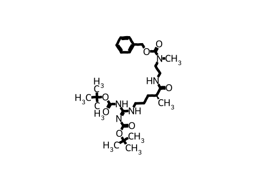 C[C@@H](CCCN/C(=N\C(=O)OC(C)(C)C)NC(=O)OC(C)(C)C)C(=O)NCCN(C)C(=O)OCc1ccccc1